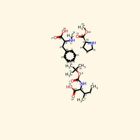 CCC(C)C(NC(=O)OC(C)(C)C)C(=O)O.CNC(Cc1ccccc1)C(=O)O.COC(=O)[C@@H]1CCCN1